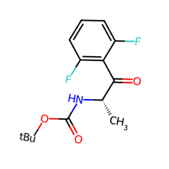 C[C@H](NC(=O)OC(C)(C)C)C(=O)c1c(F)cccc1F